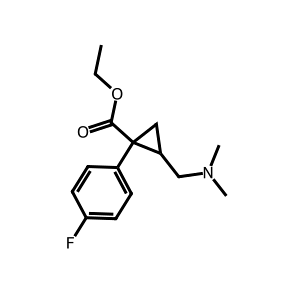 CCOC(=O)C1(c2ccc(F)cc2)CC1CN(C)C